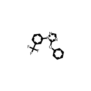 FC(F)(F)c1cccc(-n2ncnc2Oc2ccccc2)c1